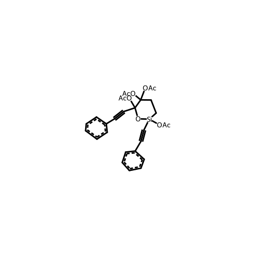 CC(=O)OC1(C#Cc2ccccc2)O[Si](C#Cc2ccccc2)(OC(C)=O)CCC1(OC(C)=O)OC(C)=O